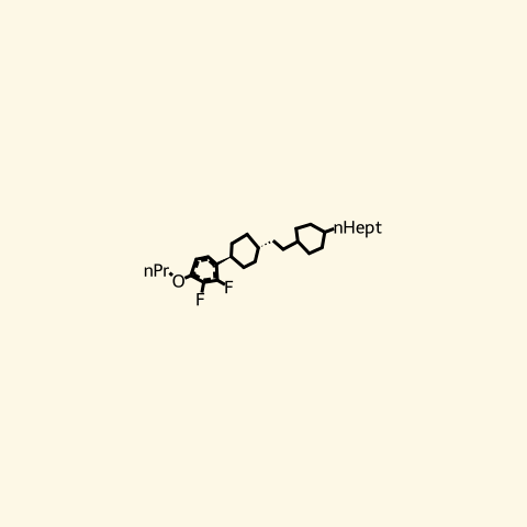 CCCCCCCC1CCC(CC[C@H]2CC[C@H](c3ccc(OCCC)c(F)c3F)CC2)CC1